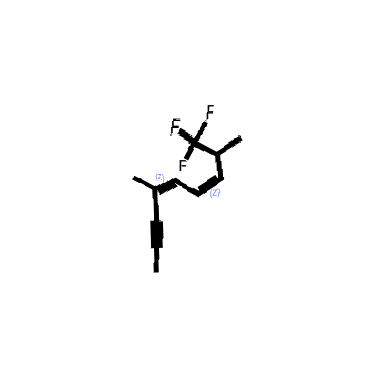 CC#C/C(C)=C\C=C/C(C)C(F)(F)F